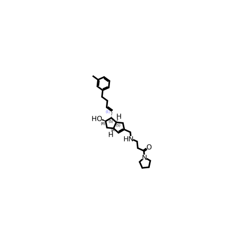 Cc1cccc(CC/C=C/[C@@H]2[C@H]3CC(CNCCC(=O)N4CCCC4)=C[C@H]3C[C@H]2O)c1